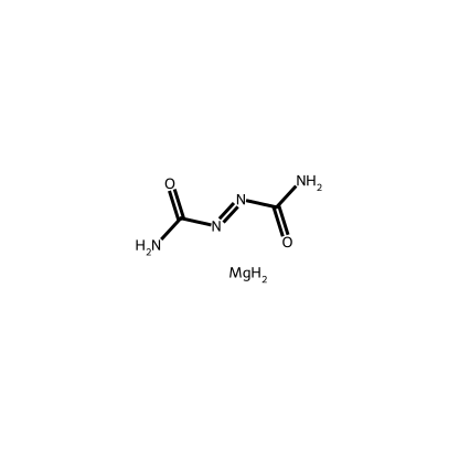 NC(=O)N=NC(N)=O.[MgH2]